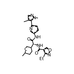 CCc1nocc1C(=O)N[C@H](C(=O)Nc1ccc(-c2c(C)cnn2C)nc1)C1CCC(C)CC1